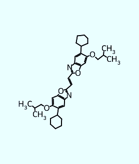 CC(C)COc1cc2oc(/C=C/c3nc4cc(C5CCCCC5)c(OCC(C)C)cc4o3)nc2cc1C1CCCCC1